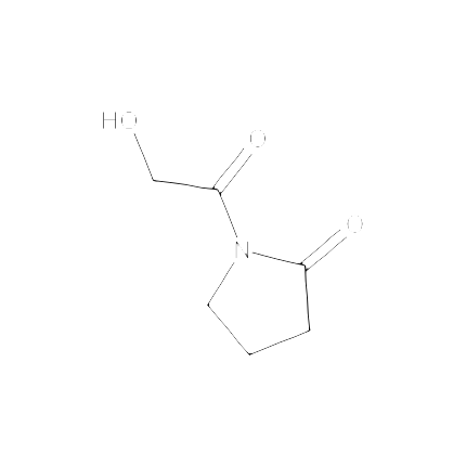 O=C(CO)N1CCCC1=O